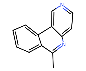 Cc1nc2ccncc2c2ccccc12